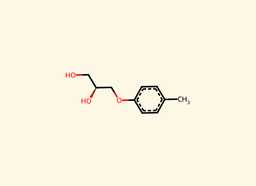 Cc1ccc(OC[C@@H](O)CO)cc1